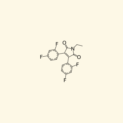 CCN1C(=O)C(c2ccc(F)cc2F)=C(c2ccc(F)cc2F)C1=O